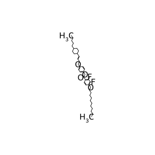 CCCCCCCCCCCOc1ccc(C(=O)Oc2ccc(OC/C=C/C3CCC(CCCCC)CC3)cc2)c(F)c1F